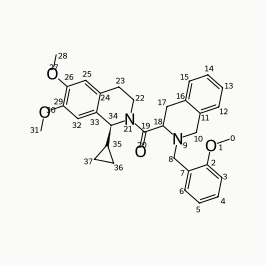 COc1ccccc1CN1Cc2ccccc2CC1C(=O)N1CCc2cc(OC)c(OC)cc2[C@@H]1C1CC1